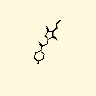 C=C/C=C1\C(=N)SN(CC(=O)N2CCNCC2)C1=O